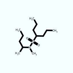 CCCC(C)N(C)S(=O)(=O)C(CCC)CCC